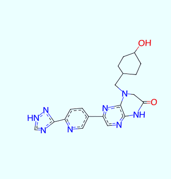 O=C1CN(CC2CCC(O)CC2)c2nc(-c3ccc(-c4nc[nH]n4)nc3)cnc2N1